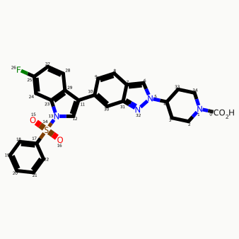 O=C(O)N1CCC(n2cc3ccc(-c4cn(S(=O)(=O)c5ccccc5)c5cc(F)ccc45)cc3n2)CC1